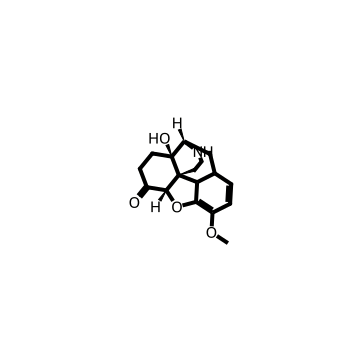 COC1=C2O[C@@H]3C(=O)CC[C@]4(O)[C@@H]5CC(C=C1)C2[C@]34CCN5